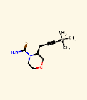 C[Si](C)(C)C#CCC1COCCN1C(N)=S